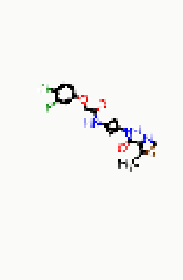 Cc1scnc1C(=O)NC12CC(NC(=O)COc3ccc(Cl)c(F)c3)(C1)C2